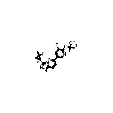 CC1(F)C[C@H]1c1nnc2ccc(-c3cnc(OC(C)(C)C(F)(F)F)c(F)c3)nn12